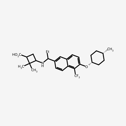 CCC(NC1CC(C(=O)O)C1(C)C)c1ccc2c(C(F)(F)F)c(O[C@H]3CC[C@@H](C)CC3)ccc2c1